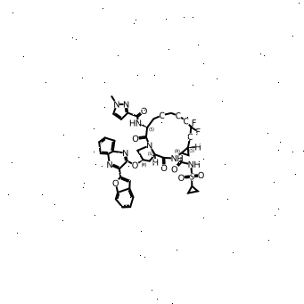 Cn1ccc(C(=O)N[C@H]2CCCCCC(F)(F)C[C@@H]3C[C@@]3(C(=O)NS(=O)(=O)C3CC3)NC(=O)[C@@H]3C[C@@H](Oc4nc5ccccc5nc4-c4cc5ccccc5o4)CN3C2=O)n1